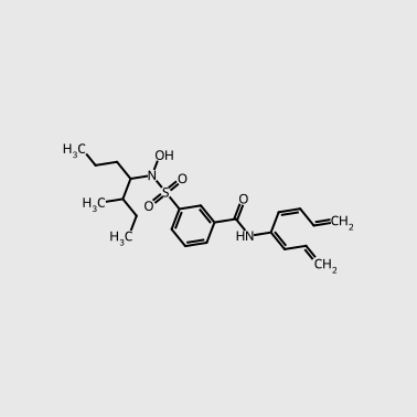 C=C/C=C\C(=C/C=C)NC(=O)c1cccc(S(=O)(=O)N(O)C(CCC)C(C)CC)c1